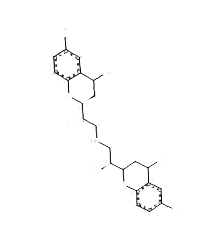 OC1CC([C@@H](O)CNC[C@H](O)[C@@H]2CC(O)c3cc(F)ccc3O2)Oc2ccc(F)cc21